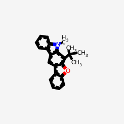 Cn1c2ccccc2c2cc3c(oc4ccccc43)c(C(C)(C)C)c21